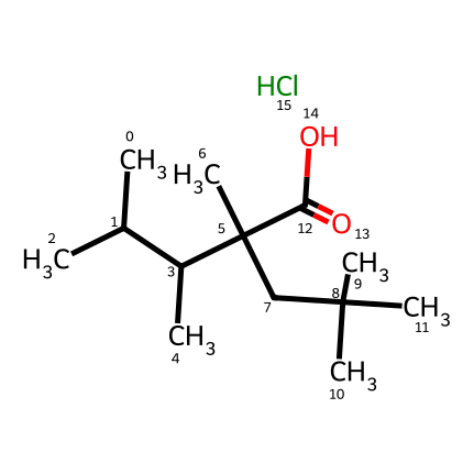 CC(C)C(C)C(C)(CC(C)(C)C)C(=O)O.Cl